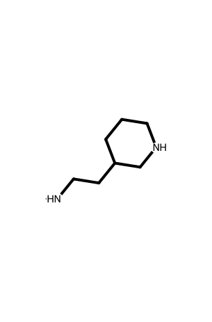 [NH]CCC1CCCNC1